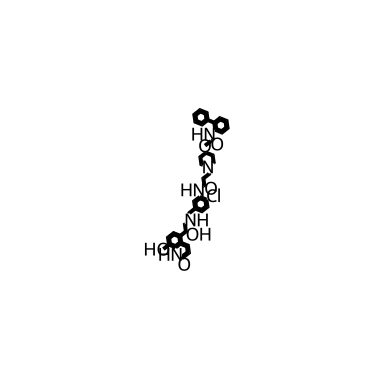 O=C(CCN1CCC(OC(=O)Nc2ccccc2-c2ccccc2)CC1)Nc1cc(CNC[C@H](O)c2ccc(O)c3[nH]c(=O)ccc23)ccc1Cl